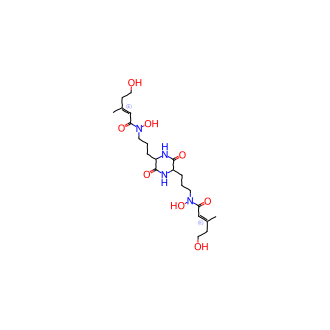 C/C(=C\C(=O)N(O)CCCC1NC(=O)C(CCCN(O)C(=O)/C=C(\C)CCO)NC1=O)CCO